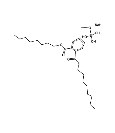 CCCCCCCCOC(=O)c1ccccc1C(=O)OCCCCCCCC.CO[Si](O)(O)O.[NaH]